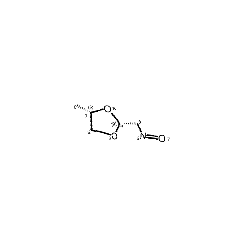 C[C@H]1CO[C@@H](CN=O)O1